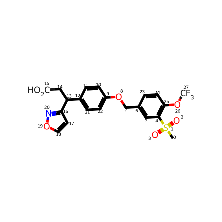 CS(=O)(=O)c1cc(COc2ccc(C(CC(=O)O)c3ccon3)cc2)ccc1OC(F)(F)F